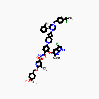 COc1nc2[nH]cc(F)c2cc1Oc1cc(N2CCC3(CC2)CC(N2CCN(Cc4ccc(C(C)(F)F)cc4)C[C@H]2c2ccccc2C(C)C)C3)ccc1C(=O)NS(=O)(=O)c1cnc(OCC2CCC(C)(O)CC2)c([N+](=O)[O-])c1